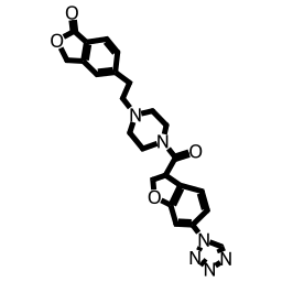 O=C1OCc2cc(CCN3CCN(C(=O)C4COc5cc(-n6cnnn6)ccc54)CC3)ccc21